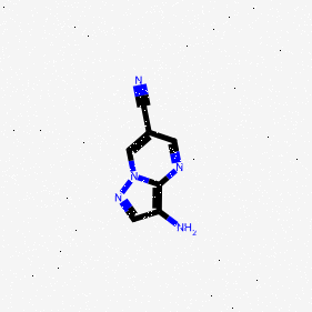 N#Cc1cnc2c(N)cnn2c1